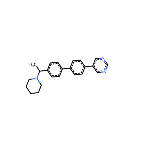 CC(c1ccc(-c2ccc(-c3cncnc3)cc2)cc1)N1CCCCC1